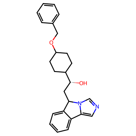 O[C@H](CC1c2ccccc2-c2cncn21)C1CCC(OCc2ccccc2)CC1